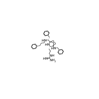 N=C(N)NCCC[C@H](NC(=O)[C@@H](Cc1ccccc1)NCCCc1ccccc1)C(=O)NCc1ccccc1